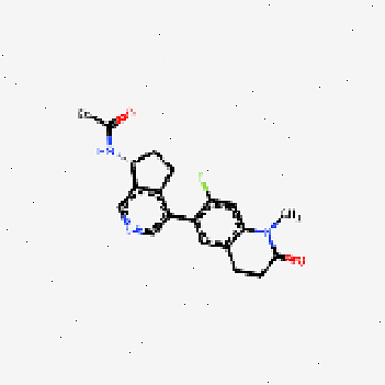 CCC(=O)N[C@@H]1CCc2c(-c3cc4c(cc3F)N(C)C(=O)CC4)cncc21